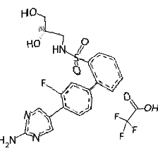 Nc1ncc(-c2ccc(-c3ccccc3S(=O)(=O)NC[C@H](O)CO)cc2F)cn1.O=C(O)C(F)(F)F